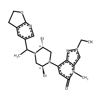 CC[C@H]1CN(C(C)c2cnc3c(c2)CCO3)[C@H](CC)CN1c1cc(=O)n(C)c2cn(CC#N)nc12